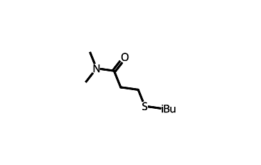 CCC(C)SCCC(=O)N(C)C